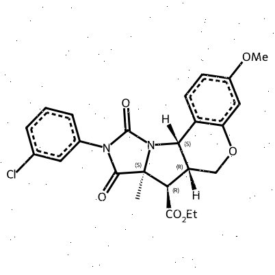 CCOC(=O)[C@@H]1[C@H]2COc3cc(OC)ccc3[C@H]2N2C(=O)N(c3cccc(Cl)c3)C(=O)[C@]12C